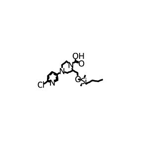 CCCC[Si](C)(C)OCC1CN(c2ccc(Cl)nc2)CCN1C(=O)O